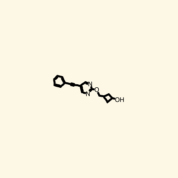 OC1CC(COc2ncc(C#Cc3ccccc3)cn2)C1